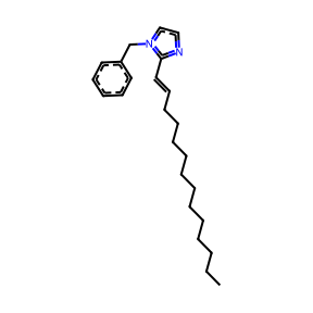 CCCCCCCCCCCCC=Cc1nccn1Cc1ccccc1